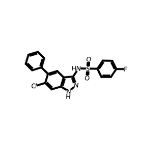 O=S(=O)(Nc1n[nH]c2cc(Cl)c(-c3ccccc3)cc12)c1ccc(F)cc1